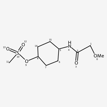 COCC(=O)NC1CCC(OS(C)(=O)=O)CC1